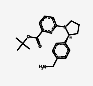 CC(C)(C)OC(=O)c1cccc(N2CCC[C@H]2c2ccc(CN)cc2)n1